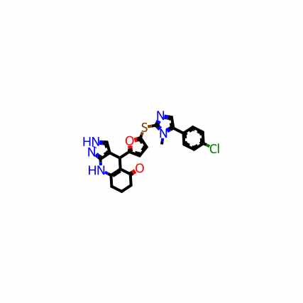 Cn1c(-c2ccc(Cl)cc2)cnc1Sc1ccc(C2C3=C(CCCC3=O)Nc3n[nH]cc32)o1